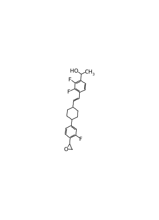 CC(O)c1ccc(/C=C/C2CCC(c3ccc(C4CO4)c(F)c3)CC2)c(F)c1F